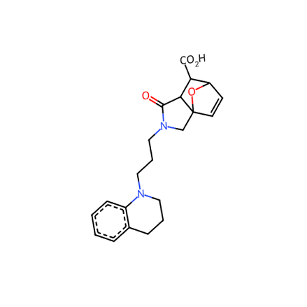 O=C(O)C1C2C=CC3(CN(CCCN4CCCc5ccccc54)C(=O)C13)O2